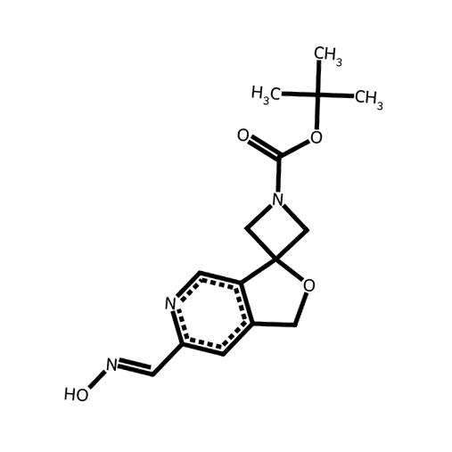 CC(C)(C)OC(=O)N1CC2(C1)OCc1cc(C=NO)ncc12